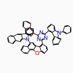 c1ccc(-c2nc(-c3cccc4oc5c6ccccc6c(-n6c7cc8ccccc8cc7c7c8ccccc8ccc76)cc5c34)nc(-c3cccc4c3c3ccccc3n4-c3ccccc3)n2)cc1